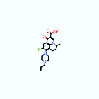 C=CCN1CCN(c2c(F)cc3c(=O)c(C(=O)O)cn4c3c2CCC4C)CC1